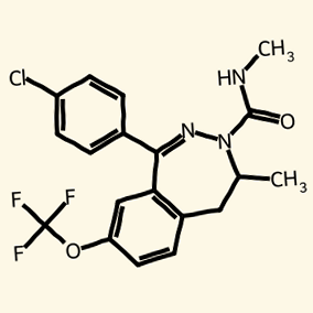 CNC(=O)N1N=C(c2ccc(Cl)cc2)c2cc(OC(F)(F)F)ccc2CC1C